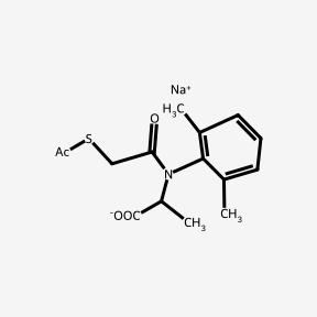 CC(=O)SCC(=O)N(c1c(C)cccc1C)C(C)C(=O)[O-].[Na+]